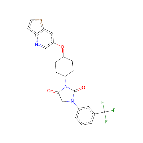 O=C1CN(c2cccc(C(F)(F)F)c2)C(=O)N1[C@H]1CC[C@H](Oc2cnc3ccsc3c2)CC1